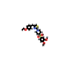 CCOc1ccc(Cc2csc(N3CCC(S(=O)(=O)c4ccc(OC)c(OC)c4)CC3)n2)cc1